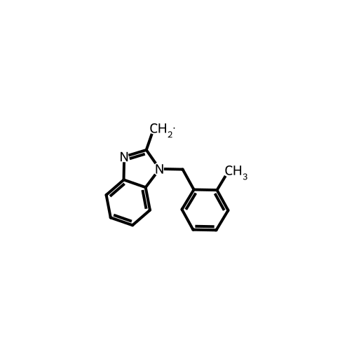 [CH2]c1nc2ccccc2n1Cc1ccccc1C